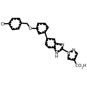 O=C(O)c1cnn(-c2nc3cc(-c4cccc(OCc5ccc(Cl)cc5)c4)ccc3[nH]2)c1